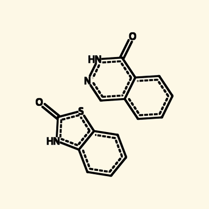 O=c1[nH]c2ccccc2s1.O=c1[nH]ncc2ccccc12